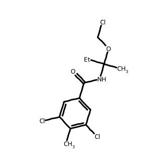 CCC(C)(NC(=O)c1cc(Cl)c(C)c(Cl)c1)OCCl